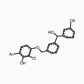 CC(=O)c1ccc(OCc2cccc(C(O)c3cccc(C#N)c3)c2)c(Cl)c1O